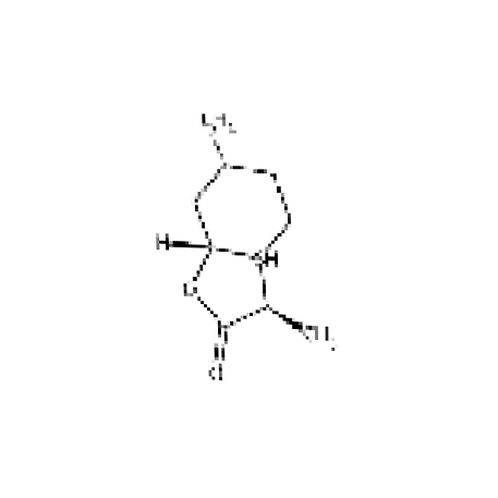 C[C@@H]1CC[SH]2[C@@H](C1)OC(=O)[C@@H]2C